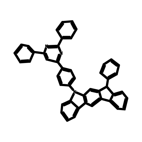 c1ccc(-c2cc(-c3ccc(-n4c5ccccc5c5cc6c(cc54)C(c4ccccc4)c4ccccc4-6)cc3)nc(-c3ccccc3)n2)cc1